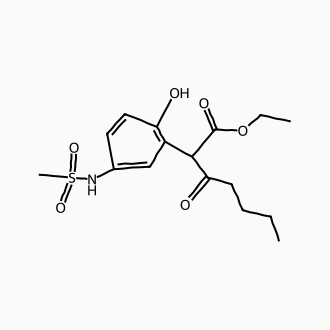 CCCCC(=O)C(C(=O)OCC)c1cc(NS(C)(=O)=O)ccc1O